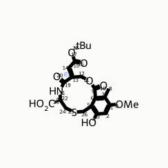 COc1cc(O)c2c(c1C)C(=O)OC/C(=C\C(=O)OC(C)(C)C)C(=O)N[C@H](C(=O)O)CSC2